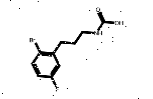 O=C(O)NCCCc1cc(F)ccc1Br